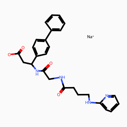 O=C([O-])CC(NC(=O)CNC(=O)CCCNc1ccccn1)c1ccc(-c2ccccc2)cc1.[Na+]